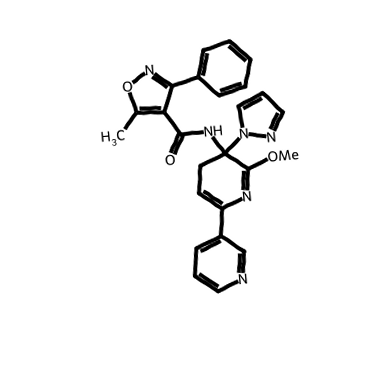 COC1=NC(c2cccnc2)=CCC1(NC(=O)c1c(-c2ccccc2)noc1C)n1cccn1